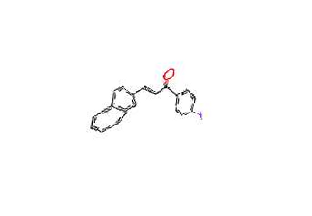 O=C(C=Cc1ccc2ccccc2c1)c1ccc(I)cc1